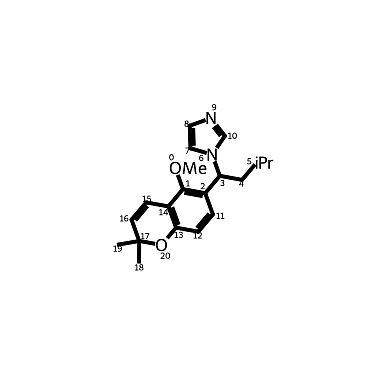 COc1c(C(CC(C)C)n2ccnc2)ccc2c1C=CC(C)(C)O2